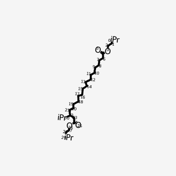 CC(C)CCOC(=O)CCCCCCCCCCCCCCCCC(CC(=O)OCCC(C)C)C(C)C